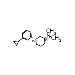 CN(C)[C@@H]1CCC[C@H](c2cccc(C3CC3)c2)C1